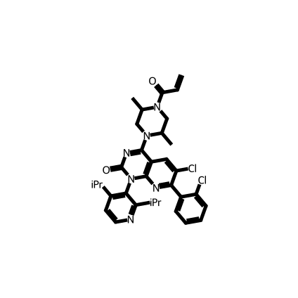 C=CC(=O)N1CC(C)N(c2nc(=O)n(-c3c(C(C)C)ccnc3C(C)C)c3nc(-c4ccccc4Cl)c(Cl)cc23)CC1C